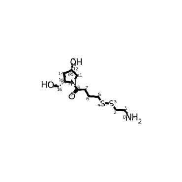 NCCSSCCCC(=O)N1C[C@H](O)C[C@H]1CO